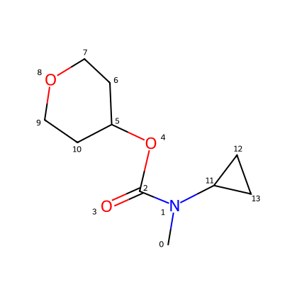 CN(C(=O)OC1CCOCC1)C1CC1